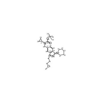 COCCCn1nc(N2CCCCC2)c2ccc(CN(C(=O)OC(C)(C)C)C3CC3)cc21